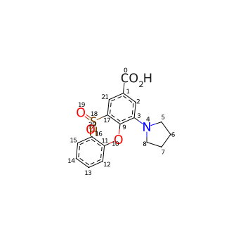 O=C(O)c1cc(N2CCCC2)c(Oc2ccccc2)c([SH](=O)=O)c1